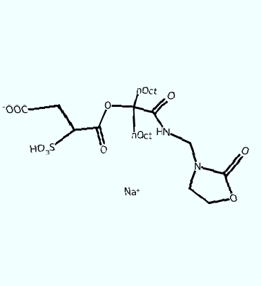 CCCCCCCCC(CCCCCCCC)(OC(=O)C(CC(=O)[O-])S(=O)(=O)O)C(=O)NCN1CCOC1=O.[Na+]